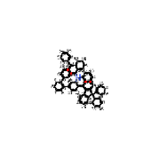 c1ccc(-c2ccccc2-c2ccc(-c3cccc4c3-c3ccccc3C4(c3ccccc3)c3ccccc3)c(N(c3ccccc3)c3ccc(-c4ccccc4)c4ccccc34)c2)cc1